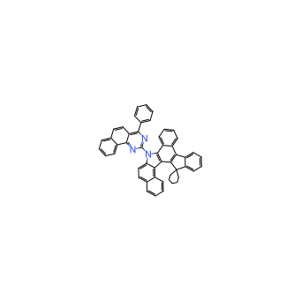 c1ccc(-c2nc(-n3c4ccc5ccccc5c4c4c5c(c6ccccc6c43)-c3ccccc3C53CCCCC3)nc3c2ccc2ccccc23)cc1